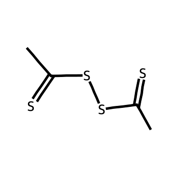 CC(=S)SSC(C)=S